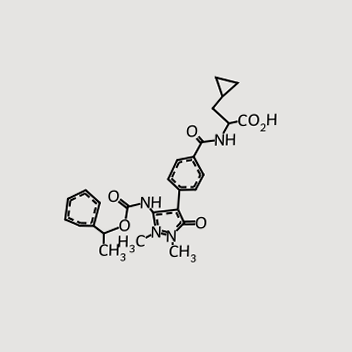 CC(OC(=O)Nc1c(-c2ccc(C(=O)NC(CC3CC3)C(=O)O)cc2)c(=O)n(C)n1C)c1ccccc1